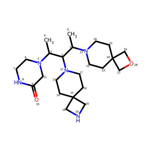 CC(C(C(C)N1CCNC(=O)C1)N1CCC2(CC1)CNC2)N1CCC2(CC1)COC2